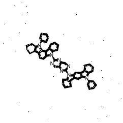 C1=Cc2c(c3ccc4c(c5ccccc5n4-c4ncc5nc(-n6c7ccccc7c7cc8c(cc76)c6ccccc6n8-c6ccccc6)ncc5n4)c3n2-c2ccccc2)CC1